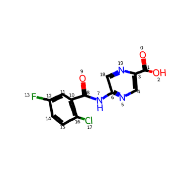 O=C(O)c1cnc(NC(=O)c2cc(F)ccc2Cl)cn1